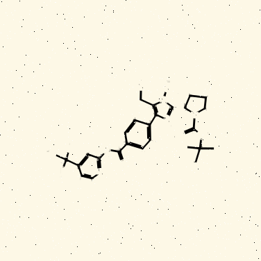 CC(C)(C)OC(=O)N1CCC[C@H]1c1nc(-c2ccc(C(=O)Nc3cc(C(F)(F)F)ccn3)cc2)c(CN)n1N